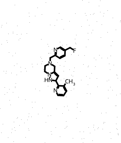 Cc1cccnc1C1C=C2CN(Cc3ccc(CF)cn3)CCN2N1